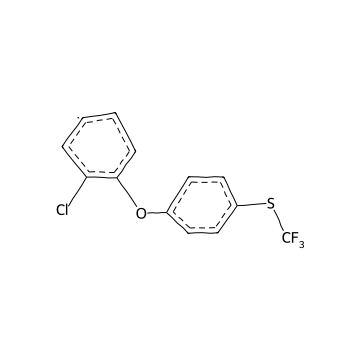 FC(F)(F)Sc1ccc(Oc2cc[c]cc2Cl)cc1